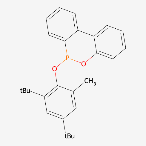 Cc1cc(C(C)(C)C)cc(C(C)(C)C)c1OP1Oc2ccccc2-c2ccccc21